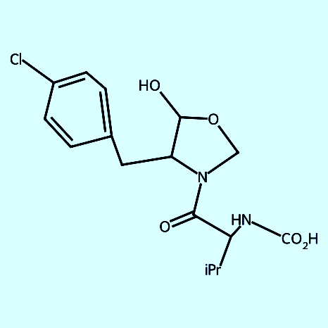 CC(C)C(NC(=O)O)C(=O)N1COC(O)C1Cc1ccc(Cl)cc1